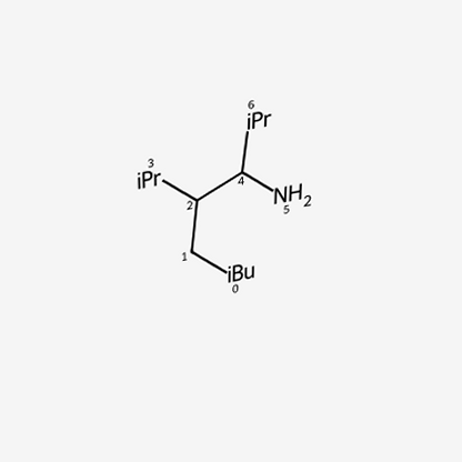 CCC(C)CC(C(C)C)C(N)C(C)C